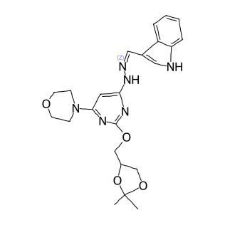 CC1(C)OCC(COc2nc(N/N=C\c3c[nH]c4ccccc34)cc(N3CCOCC3)n2)O1